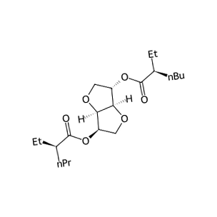 CCCC[C@H](CC)C(=O)O[C@H]1CO[C@H]2[C@@H]1OC[C@H]2OC(=O)[C@H](CC)CCC